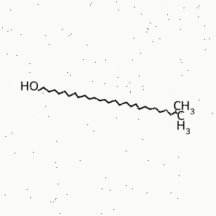 CC(C)CCCCCCCCCCCCCCCCCCCCCCCCCCCO